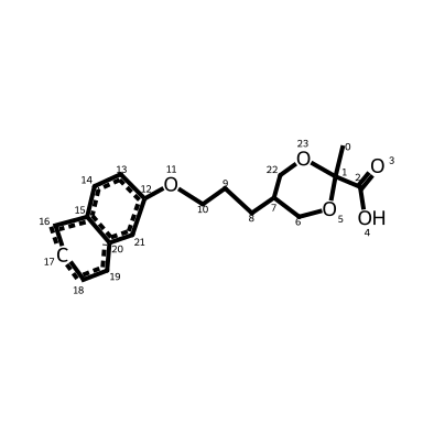 CC1(C(=O)O)OCC(CCCOc2ccc3ccccc3c2)CO1